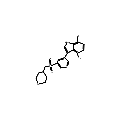 O=S(=O)(CC1CCNCC1)c1cncc(-c2c[nH]c3c(Cl)ccc(O)c23)c1